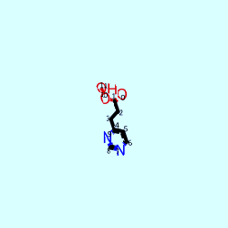 O=C(CCc1ccncn1)OO